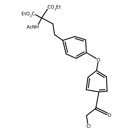 CCOC(=O)C(CCc1ccc(Oc2ccc(C(=O)CCl)cc2)cc1)(NC(C)=O)C(=O)OCC